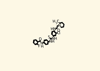 CC1CCCCN1CC(=O)Nc1ccc(NC(=S)Nc2ccc(NC(=O)c3ccccc3F)cc2)cc1Cl